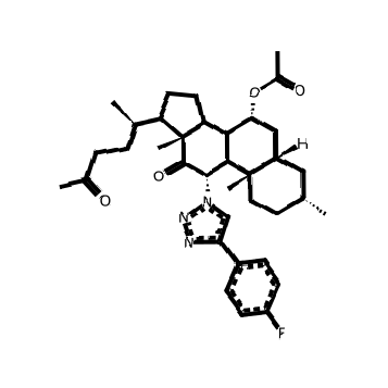 CC(=O)CC[C@@H](C)C1CCC2C3C([C@H](n4cc(-c5ccc(F)cc5)nn4)C(=O)[C@@]21C)[C@@]1(C)CC[C@@H](C)C[C@H]1C[C@H]3OC(C)=O